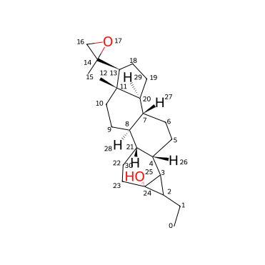 CCC1C2[C@H]3CC[C@@H]4[C@H](CC[C@]5(C)[C@@H](C6(C)CO6)CC[C@@H]45)[C@H]3CC[C@]12O